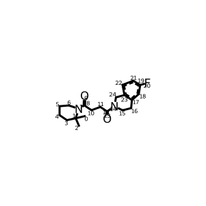 CC1(C)CCCCN1C(=O)CCC(=O)N1CCc2cc(F)ccc2C1